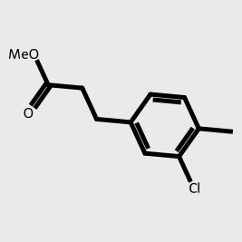 COC(=O)CCc1ccc(C)c(Cl)c1